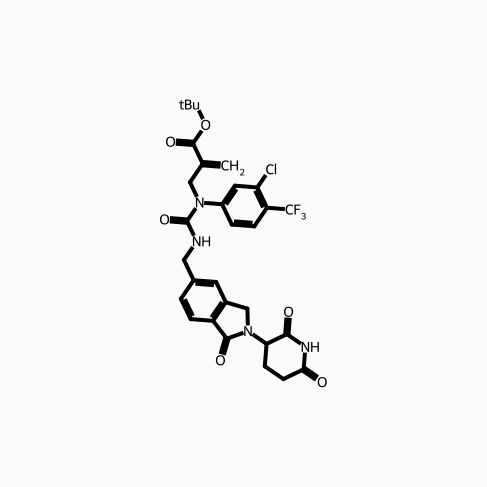 C=C(CN(C(=O)NCc1ccc2c(c1)CN(C1CCC(=O)NC1=O)C2=O)c1ccc(C(F)(F)F)c(Cl)c1)C(=O)OC(C)(C)C